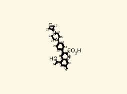 Cc1cc(C(C)O)c2cc(-c3ccc(N4CCN(C5COC5)CC4)cc3)c(C(=O)O)nc2c1